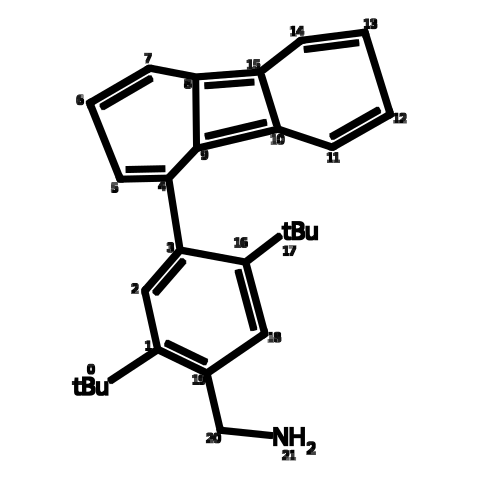 CC(C)(C)c1cc(-c2cccc3c2=c2ccccc2=3)c(C(C)(C)C)cc1CN